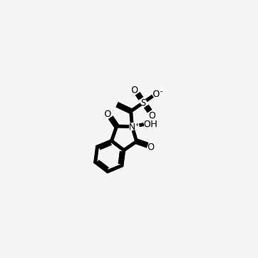 C=C([N+]1(O)C(=O)c2ccccc2C1=O)S(=O)(=O)[O-]